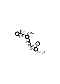 COc1cc(CC(=O)CNC(C)Oc2ccc(C(=O)O)cc2N2CCCCC2)ccc1NC(=O)Nc1ccccc1F